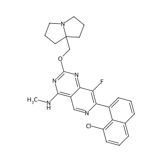 CNc1nc(OCC23CCCN2CCC3)nc2c(F)c(-c3cccc4cccc(Cl)c34)ncc12